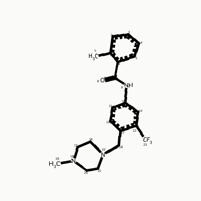 Cc1ccccc1C(=O)Nc1ccc(CN2CCN(C)CC2)c(C(F)(F)F)c1